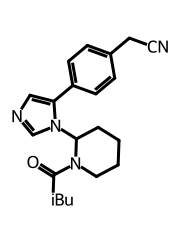 CCC(C)C(=O)N1CCCCC1n1cncc1-c1ccc(CC#N)cc1